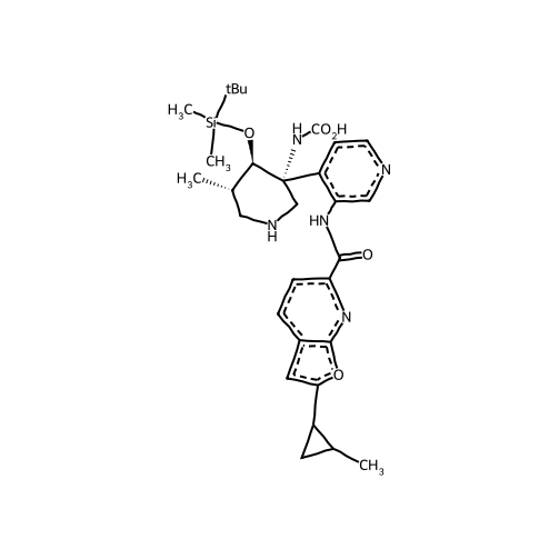 CC1CC1c1cc2ccc(C(=O)Nc3cnccc3[C@@]3(NC(=O)O)CNC[C@H](C)[C@H]3O[Si](C)(C)C(C)(C)C)nc2o1